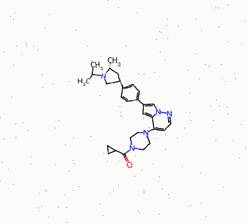 CC(C)N1C[C@H](c2ccc(-c3cc4c(N5CCN(C(=O)C6CC6)CC5)ccnn4c3)cc2)C[C@H]1C